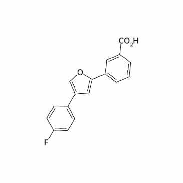 O=C(O)c1cccc(-c2cc(-c3ccc(F)cc3)co2)c1